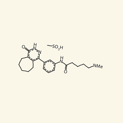 CNCCCCC(=O)Nc1cccc(-c2n[nH]c(=O)c3c2CCCCC3)c1.CS(=O)(=O)O